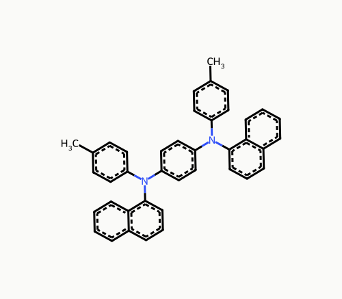 Cc1ccc(N(c2ccc(N(c3ccc(C)cc3)c3cccc4ccccc34)cc2)c2cccc3ccccc23)cc1